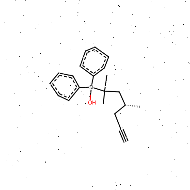 C#CC[C@@H](C)CC(C)(C)[Si](O)(c1ccccc1)c1ccccc1